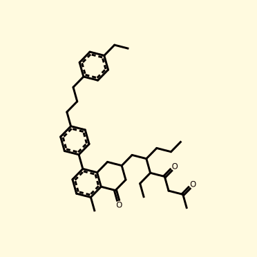 CCCC(CC1CC(=O)c2c(C)ccc(-c3ccc(CCCc4ccc(CC)cc4)cc3)c2C1)C(CC)C(=O)CC(C)=O